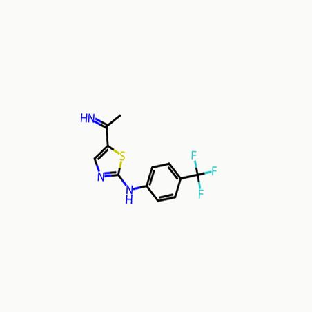 CC(=N)c1cnc(Nc2ccc(C(F)(F)F)cc2)s1